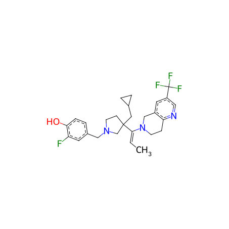 C/C=C(\N1CCc2ncc(C(F)(F)F)cc2C1)C1(CC2CC2)CCN(Cc2ccc(O)c(F)c2)C1